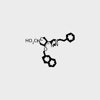 O=C(O)N1CC[C@@H](c2cn(CCc3ccccc3)nn2)[C@H](OCc2ccc3ccccc3c2)C1